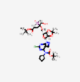 CC(C)(C)OC(=O)CCC(CO)(OC[C@H]1O[C@@H](n2ncc3c(N(C(=O)OC(C)(C)C)C4CCCC4)nc(Cl)nc32)[C@@H]2OC(C)(C)O[C@@H]21)P(C)(C)=O